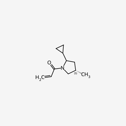 C=CC(=O)N1C[C@@H](C)CC1C1CC1